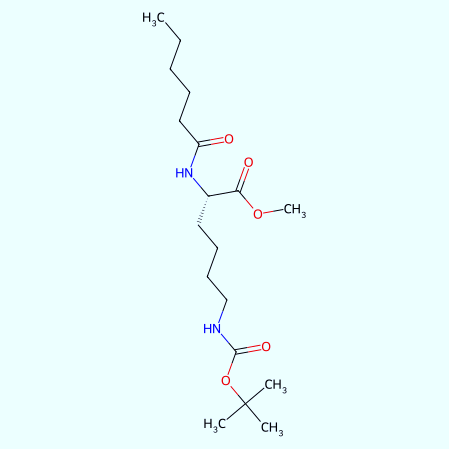 CCCCCC(=O)N[C@@H](CCCCNC(=O)OC(C)(C)C)C(=O)OC